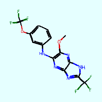 COc1nc2[nH]c(C(F)(F)F)nc2nc1Nc1cccc(OC(F)(F)F)c1